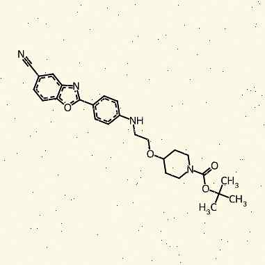 CC(C)(C)OC(=O)N1CCC(OCCNc2ccc(-c3nc4cc(C#N)ccc4o3)cc2)CC1